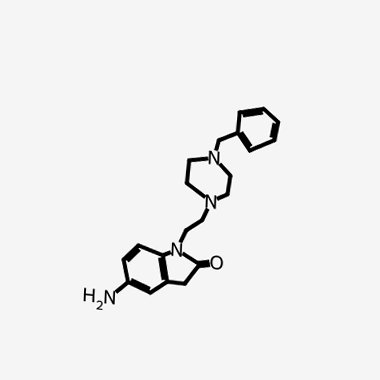 Nc1ccc2c(c1)CC(=O)N2CCN1CCN(Cc2ccccc2)CC1